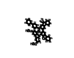 CCCCc1ccc2c(c1)c1cc(CCCC)cc3c1n2-c1c2c(cc4c1oc1ccccc14)-c1cc4c(cc1N(c1ccc(-c5ccccc5)cc1)B23)C(C)(C)c1ccccc1-4